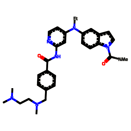 CCN(c1ccnc(NC(=O)c2ccc(CN(C)CCN(C)C)cc2)c1)c1ccc2c(ccn2C(=O)NC)c1